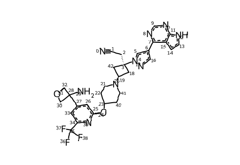 N#CC[C@]1(n2cc(-c3ncnc4[nH]ccc34)cn2)C[C@@H](N2CCC(Oc3cc(C4(N)COC4)cc(C(F)(F)F)n3)CC2)C1